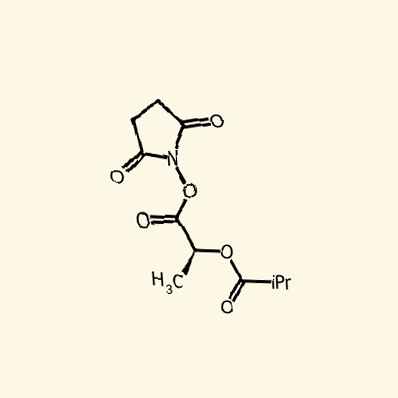 CC(C)C(=O)O[C@@H](C)C(=O)ON1C(=O)CCC1=O